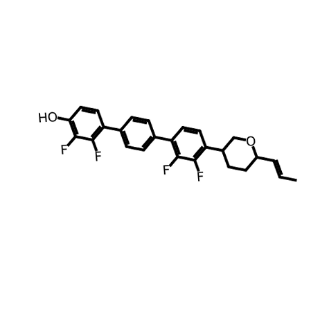 C/C=C/C1CCC(c2ccc(-c3ccc(-c4ccc(O)c(F)c4F)cc3)c(F)c2F)CO1